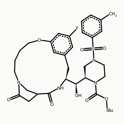 Cc1cccc(S(=O)(=O)N2CCN(C(=O)OC(C)(C)C)[C@@H]([C@@H](O)[C@@H]3Cc4cc(F)cc(c4)OCCCCN4CC(CC4=O)C(=O)N3)C2)c1